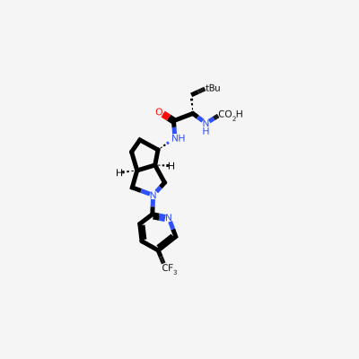 CC(C)(C)C[C@H](NC(=O)O)C(=O)N[C@H]1CC[C@@H]2CN(c3ccc(C(F)(F)F)cn3)C[C@@H]21